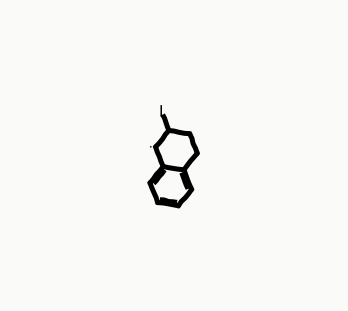 IC1[CH]c2ccccc2CC1